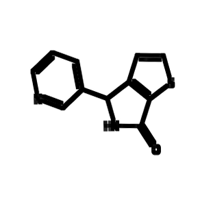 O=C1NC(c2cccnc2)c2ccsc21